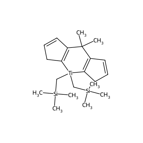 CC1(C)C2=[C](CC=C2)[Ti]([CH2][Si](C)(C)C)([CH2][Si](C)(C)C)[C]2=C1C=CC2